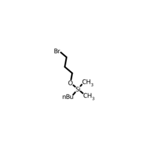 CCCC[Si](C)(C)OCCCBr